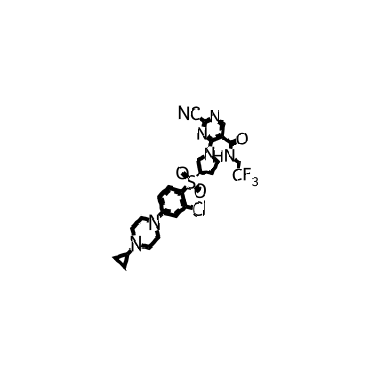 N#Cc1ncc(C(=O)NCC(F)(F)F)c(N2CC[C@H](S(=O)(=O)c3ccc(N4CCN(C5CC5)CC4)cc3Cl)C2)n1